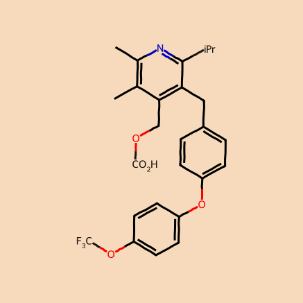 Cc1nc(C(C)C)c(Cc2ccc(Oc3ccc(OC(F)(F)F)cc3)cc2)c(COC(=O)O)c1C